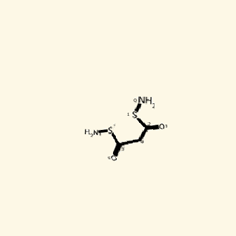 NSC(=O)CC(=O)SN